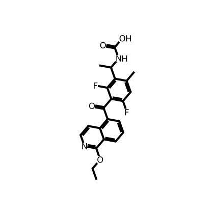 CCOc1nccc2c(C(=O)c3c(F)cc(C)c(C(C)NC(=O)O)c3F)cccc12